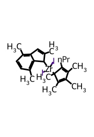 CCCC1=C(C)C(C)=C(C)[C]1(C)[Zr]([I])([I])[CH]1C(C)=Cc2c(C)ccc(C)c21